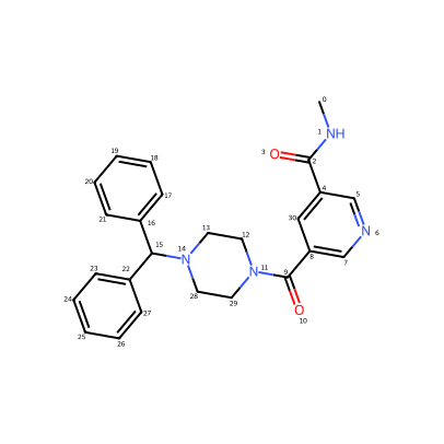 CNC(=O)c1cncc(C(=O)N2CCN(C(c3ccccc3)c3ccccc3)CC2)c1